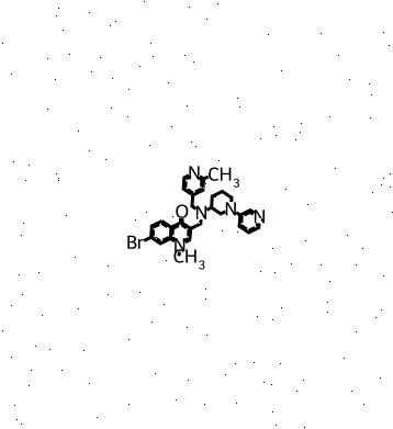 Cc1cc(CN(Cc2cn(C)c3cc(Br)ccc3c2=O)C2CCCN(c3cccnc3)C2)ccn1